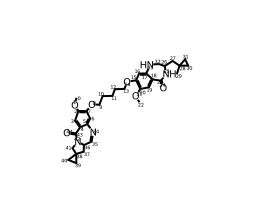 COc1cc2c(cc1OCCCCCOc1cc3c(cc1OC)C(=O)NC(CC1(C)CC1)CN3)N=CC1CC3(CC3)CN1C2=O